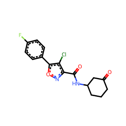 O=C1CCCC(NC(=O)c2noc(-c3ccc(F)cc3)c2Cl)C1